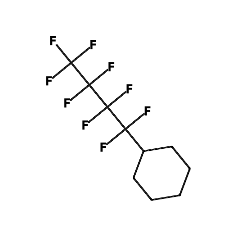 FC(F)(F)C(F)(F)C(F)(F)C(F)(F)C1CCCCC1